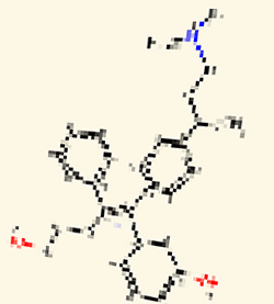 CCN(C)CCC(C)c1ccc(/C(=C(/CCCO)c2ccccc2)C2C=CC=C(O)C2)cc1